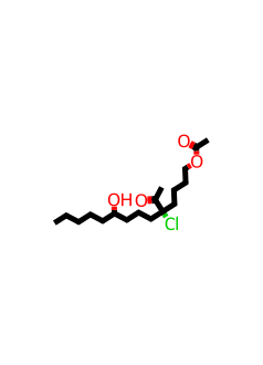 CCCCCC(O)CCCC(Cl)(CCCCOC(C)=O)C(C)=O